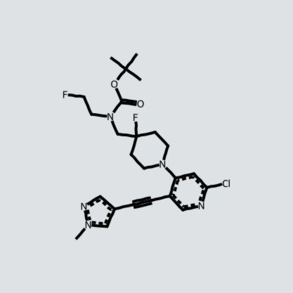 Cn1cc(C#Cc2cnc(Cl)cc2N2CCC(F)(CN(CCF)C(=O)OC(C)(C)C)CC2)cn1